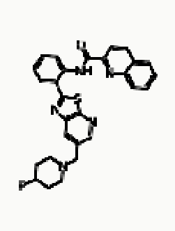 O=C(Nc1ccccc1-c1nc2cc(CN3CCC(F)CC3)cnc2s1)c1ccc2ccccc2n1